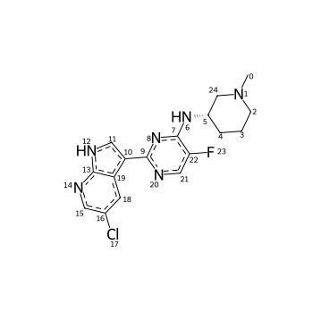 CN1CCC[C@H](Nc2nc(-c3c[nH]c4ncc(Cl)cc34)ncc2F)C1